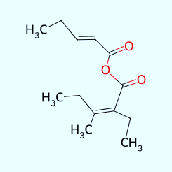 CCC=CC(=O)OC(=O)C(CC)=C(C)CC